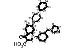 O=C(O)c1cn(-c2cccc(Cn3ccnn3)c2)c2cc(N3CCN(c4ccccc4)CC3)c(F)cc2c1=O